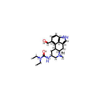 CCN(CC)C(=O)N[C@H]1CC2c3c(C=O)ccc4[nH]cc(c34)C[C@H]2N(C)C1